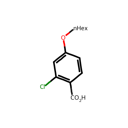 CCCCCCOc1ccc(C(=O)O)c(Cl)c1